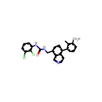 Cc1c(C(=O)O)cccc1-c1ccc(CNC(=O)Nc2cccc(Cl)c2Cl)c2cnccc12